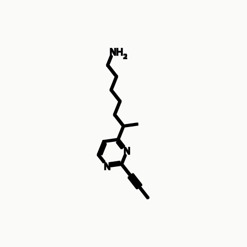 CC#Cc1nccc(C(C)CCCCCN)n1